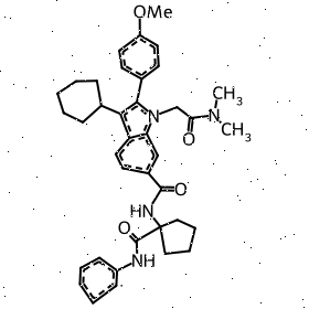 COc1ccc(-c2c(C3CCCCC3)c3ccc(C(=O)NC4(C(=O)Nc5[c]cccc5)CCCC4)cc3n2CC(=O)N(C)C)cc1